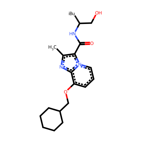 CCC(C)C(CO)NC(=O)c1c(C)nc2c(OCC3CCCCC3)cccn12